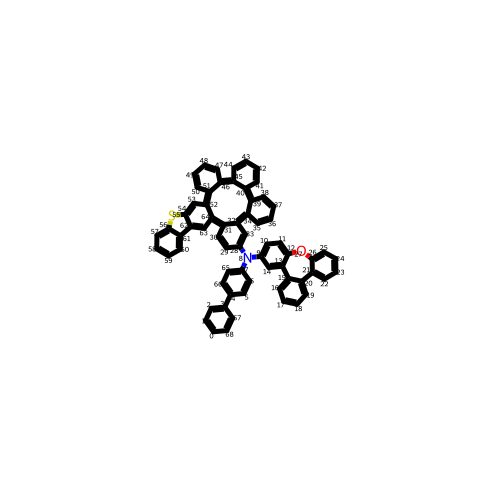 c1ccc(-c2ccc(N(c3ccc4c(c3)-c3ccccc3-c3ccccc3O4)c3ccc4c(c3)c3ccccc3c3ccccc3c3ccccc3c3cc5sc6ccccc6c5cc43)cc2)cc1